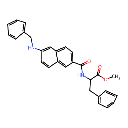 COC(=O)C(Cc1ccccc1)NC(=O)c1ccc2cc(NCc3ccccc3)ccc2c1